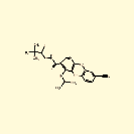 CC(C)Nc1c(C(=O)NCC(F)C(C)(C)O)cnc2c1Oc1ccc(C#N)cc1O2